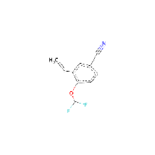 C=[C]c1cc(C#N)ccc1OC(F)F